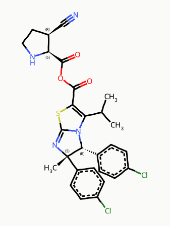 CC(C)C1=C(C(=O)OC(=O)[C@H]2NCC[C@H]2C#N)SC2=N[C@@](C)(c3ccc(Cl)cc3)[C@@H](c3ccc(Cl)cc3)N21